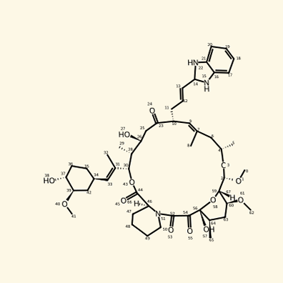 CO[C@H]1C[C@@H](C)C/C(C)=C/[C@@H](C/C=C/C2Nc3ccccc3N2)C(=O)C[C@H](O)[C@@H](C)[C@@H](/C(C)=C/[C@@H]2CC[C@@H](O)[C@H](OC)C2)OC(=O)[C@@H]2CCCCN2C(=O)C(=O)[C@]2(O)O[C@H]1[C@@H](OC)C[C@H]2C